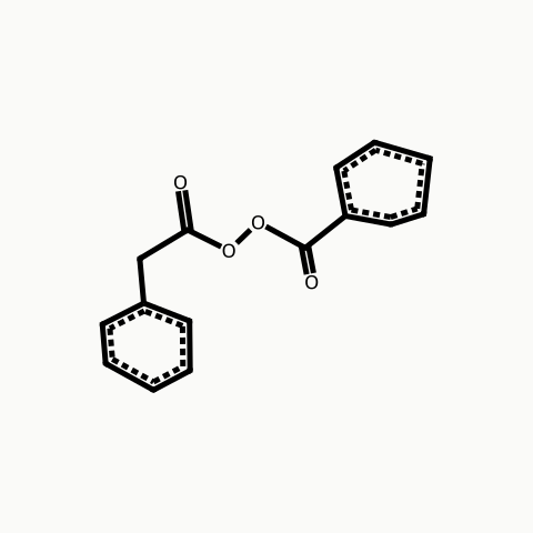 O=C(Cc1ccccc1)OOC(=O)c1ccccc1